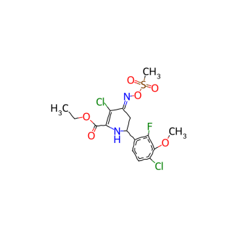 CCOC(=O)C1=C(Cl)C(=NOS(C)(=O)=O)CC(c2ccc(Cl)c(OC)c2F)N1